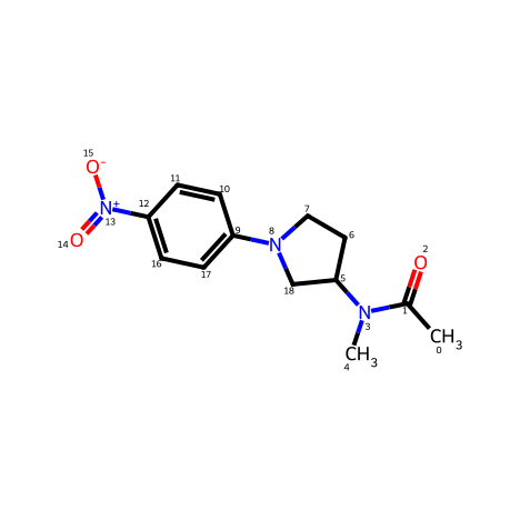 CC(=O)N(C)C1CCN(c2ccc([N+](=O)[O-])cc2)C1